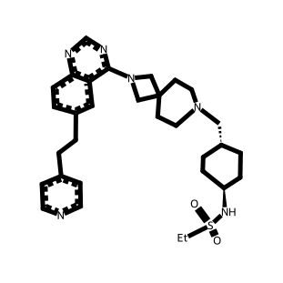 CCS(=O)(=O)N[C@H]1CC[C@H](CN2CCC3(CC2)CN(c2ncnc4ccc(CCc5ccncc5)cc24)C3)CC1